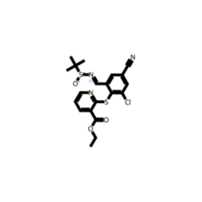 CCOC(=O)c1cccnc1Sc1c(Cl)cc(C#N)cc1/C=N/[S+]([O-])C(C)(C)C